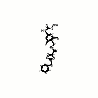 Cc1cc(NC(=O)OC(C)(C)C)nc(C)c1CNC(=O)c1nc(Cc2ccccc2)no1